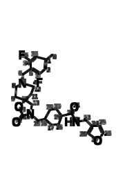 Cc1cc(F)c(CN2CCC3(CC2)CN(CC2CCC(C(=O)NCc4ccoc4)CC2)C(=O)O3)c(F)c1